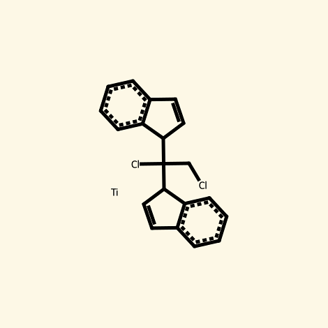 ClCC(Cl)(C1C=Cc2ccccc21)C1C=Cc2ccccc21.[Ti]